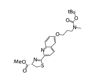 COC(=O)[C@H]1CSC(c2ccc3cc(OCCCN(C)C(=O)OC(C)(C)C)ccc3n2)=N1